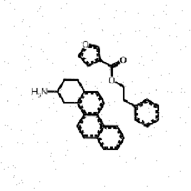 NC1CCc2ccc3c(ccc4ccccc43)c2C1.O=C(OCCc1ccccc1)c1ccoc1